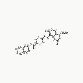 COc1cc(F)cc2c1ccc(=O)n2CCN1CCC(NCc2cc3c(cn2)OCCO3)CC1